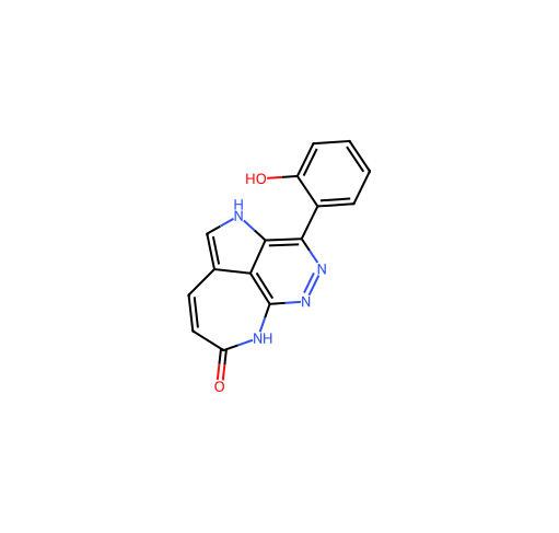 O=C1C=Cc2c[nH]c3c(-c4ccccc4O)nnc(c23)N1